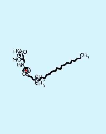 CCCCCCCCCCCCCCCCCC[N+](C)(C)CCC[Si]12OCC(NCC(O)CS(=O)(=O)O)(CO1)CO2